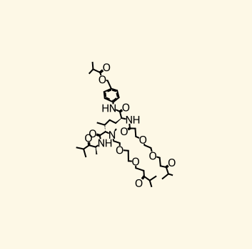 CC(C)C(=O)CCOCCOCCC(=O)N[C@@H](CCC(C)[C@@H](C(=O)N[C@@H](C)C(=O)C(C)C)N(C)CCOCCOCCC(=O)C(C)C)C(=O)Nc1ccc(COC(=O)C(C)C)cc1